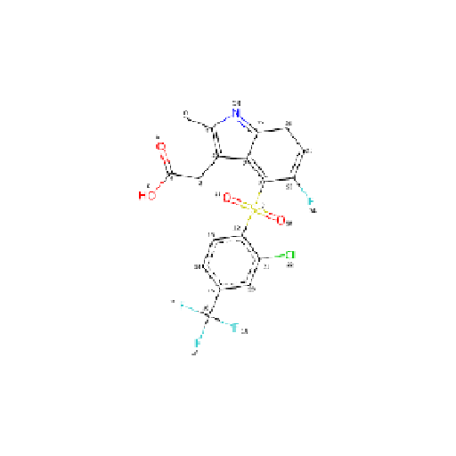 CC1=C(CC(=O)O)C2=C(S(=O)(=O)c3ccc(C(F)(F)F)cc3Cl)C(F)=CCC2=N1